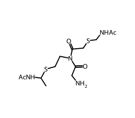 CC(=O)NCSCC(=O)N(CCSC(C)NC(C)=O)C(=O)CN